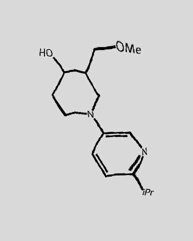 COCC1CN(c2ccc(C(C)C)nc2)CCC1O